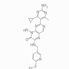 CCCn1c(=O)c(NCc2ccc(SCC)nc2)nc2cnc(-c3c(C)nc(N)nc3C3CC3)nc21